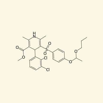 CCCOC(C)Oc1ccc(S(=O)(=O)C2=C(C)NC(C)=C(C(=O)OC)C2c2cccc(Cl)c2Cl)cc1